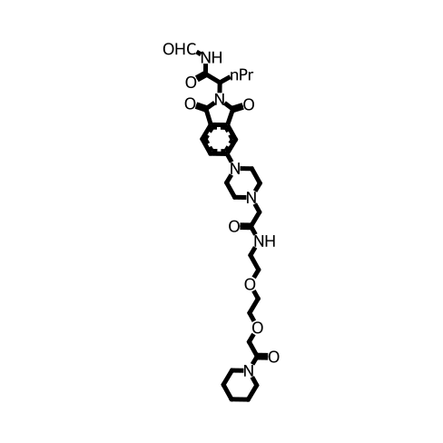 CCCC(C(=O)NC=O)N1C(=O)c2ccc(N3CCN(CC(=O)NCCOCCOCC(=O)N4CCCCC4)CC3)cc2C1=O